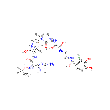 Nc1nc(/C(=N/OC2(C(=O)O)CC2)C(=O)N[C@@H]2C(=O)N3C[C@@](C(=O)O)(N4CCN(NC(=O)C(=O)NCCNC(=O)c5ccc(O)c(O)c5Cl)C4=O)S[C@H]23)ns1